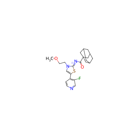 COCCn1cc(-c2ccncc2F)s/c1=N\C(=O)C12CC3CC(CC(C3)C1)C2